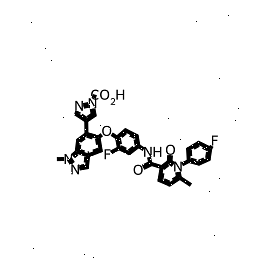 Cc1ccc(C(=O)Nc2ccc(Oc3cc4cnn(C)c4cc3-c3cnn(C(=O)O)c3)c(F)c2)c(=O)n1-c1ccc(F)cc1